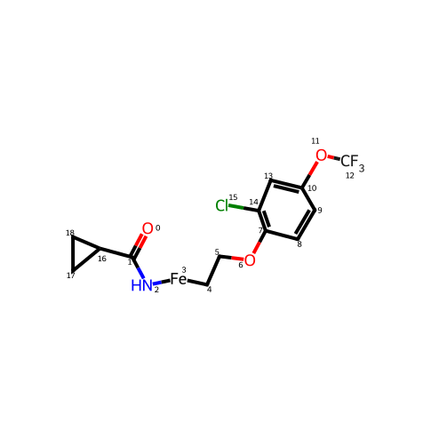 O=C([NH][Fe][CH2]COc1ccc(OC(F)(F)F)cc1Cl)C1CC1